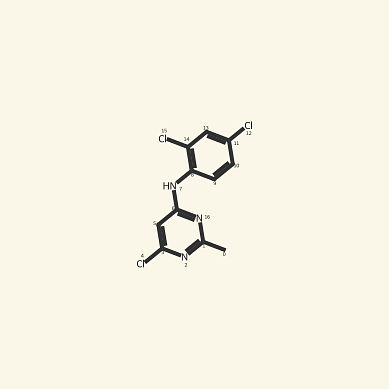 Cc1nc(Cl)cc(Nc2ccc(Cl)cc2Cl)n1